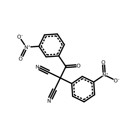 N#CC(C#N)(C(=O)c1cccc([N+](=O)[O-])c1)c1cccc([N+](=O)[O-])c1